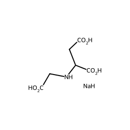 O=C(O)CNC(CC(=O)O)C(=O)O.[NaH]